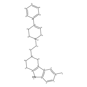 Cc1ccc2[nH]c3c(c2c1)CC(CCN1CC=C(c2ccccc2)CC1)CC3